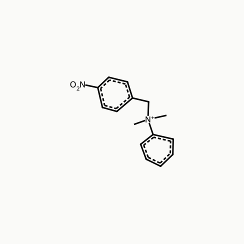 C[N+](C)(Cc1ccc([N+](=O)[O-])cc1)c1ccccc1